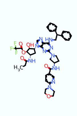 CCC(=O)N[C@H]1C[C@@H](n2cnc3c(NCC(c4ccccc4)c4ccccc4)nc(N4CC[C@@H](NC(=O)c5ccc(N6CCOCC6)nc5)C4)nc32)[C@H](O)[C@@H]1OC(=O)C(F)(F)F